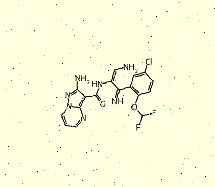 N=C(/C(=C\N)NC(=O)c1c(N)nn2cccnc12)c1cc(Cl)ccc1OC(F)F